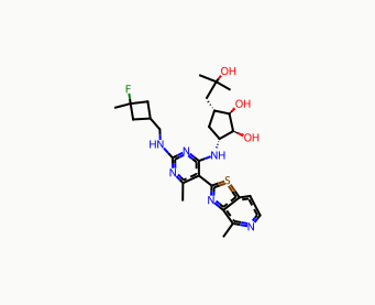 Cc1nc(NCC2CC(C)(F)C2)nc(N[C@@H]2C[C@H](CC(C)(C)O)[C@@H](O)[C@H]2O)c1-c1nc2c(C)nccc2s1